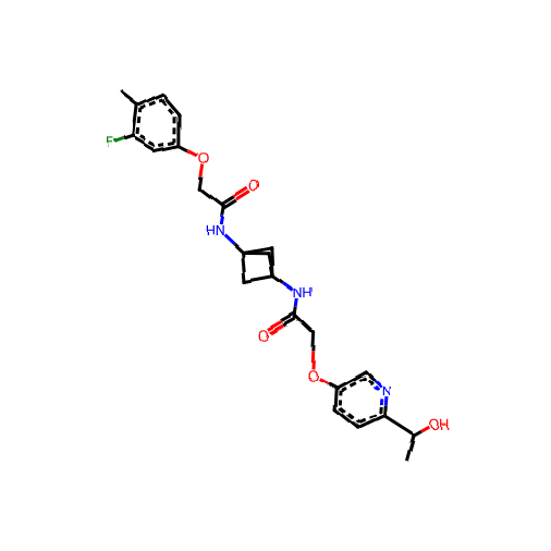 Cc1ccc(OCC(=O)NC23CC(NC(=O)COc4ccc(C(C)O)nc4)(C2)C3)cc1F